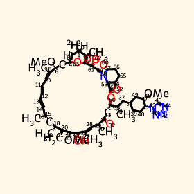 [2H]C1([2H])C[C@H]2C[C@H](OC)/C(C)=C/C=C/C=C/[C@@H](C)C[C@@H](C)C(=C)[C@H](OC)[C@H](O)/C(C)=C/[C@@H](C)C(=O)C[C@@H]([C@H](C)C[C@@H]3CC[C@H](n4cnnn4)[C@H](OC)C3)OC(=O)[C@@H]3CCCCN3C(=O)C(=O)[C@](O)(O2)[C@@H]1C